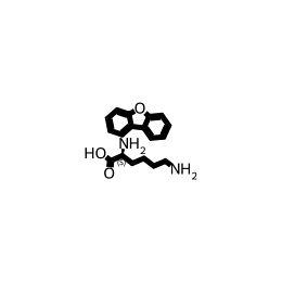 NCCCC[C@H](N)C(=O)O.c1ccc2c(c1)oc1ccccc12